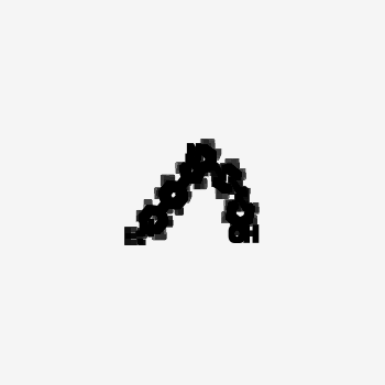 CCN1CCC(c2ccc(-c3cc4c(N5CCN(CN6CCC(O)CC6)CC5)ccnn4c3)cc2)CC1